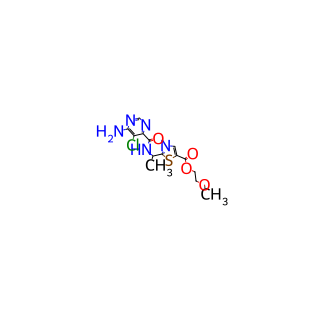 COCCOC(=O)c1cnc(C(C)NC(=O)c2ncnc(N)c2Cl)s1